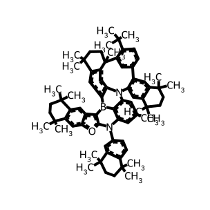 Cc1cc2c3c(c1)N(c1ccc4c(c1)C(C)(C)CCC4(C)C)c1oc4cc5c(cc4c1B3c1cc3c4cc1N2c1cc2c(cc1-c1ccc(C(C)(C)C)c(c1)C4(C)CCC3(C)C)C(C)(C)CCC2(C)C)C(C)(C)CCC5(C)C